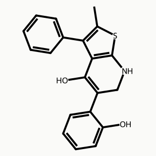 Cc1sc2c(c1-c1ccccc1)C(O)=C(c1ccccc1O)CN2